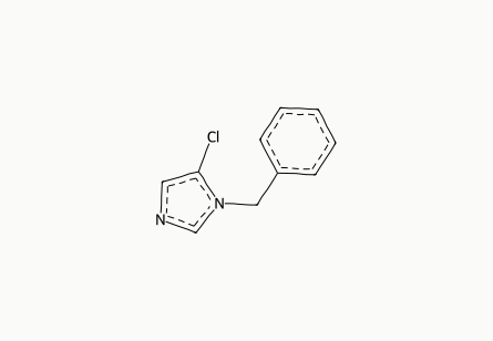 Clc1cncn1Cc1ccccc1